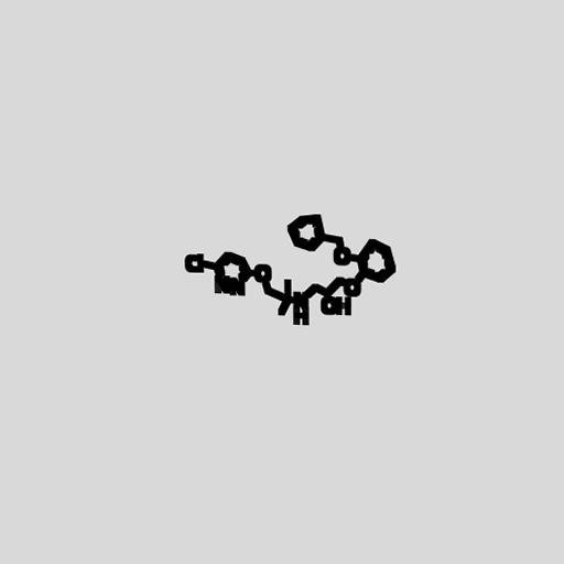 CC(C)(COc1ccc(Cl)nn1)NCC(O)COc1ccccc1OCc1ccccc1